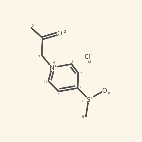 CC(=O)C[n+]1ccc([S+](C)[O-])cc1.[Cl-]